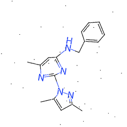 Cc1cc(NCc2ccccc2)nc(-n2nc(C)cc2C)n1